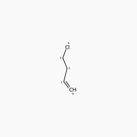 [CH]=CC[CH]Cl